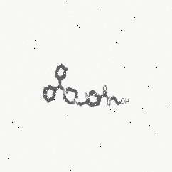 O=C(NCCO)c1ccc(CN2CCN(C(c3ccccc3)c3ccccc3)CC2)nc1